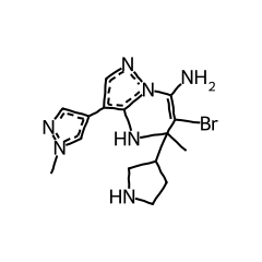 Cn1cc(-c2cnn3c2NC(C)(C2CCNC2)C(Br)=C3N)cn1